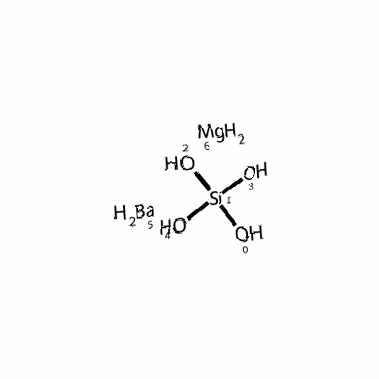 O[Si](O)(O)O.[BaH2].[MgH2]